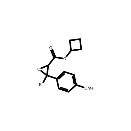 CCC1(c2ccc(OC)cc2)OC1C(=O)OC1CCC1